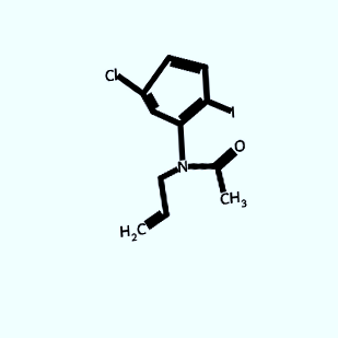 C=CCN(C(C)=O)c1cc(Cl)ccc1I